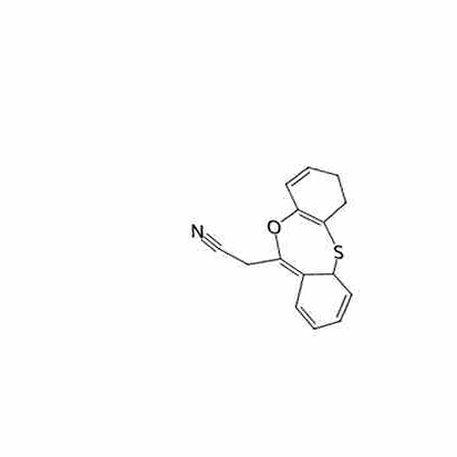 N#CCC1=C2C=CC=CC2SC2=C(C=CCC2)O1